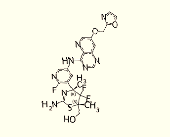 C[C@@]1(CO)SC(N)=N[C@](C)(c2cc(Nc3ncnc4cc(OCc5ncco5)cnc34)cnc2F)C1(F)F